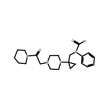 CCC(=O)N(CC1(N2CCN(CC(=O)N3CCCCC3)CC2)CC1)c1ccccc1